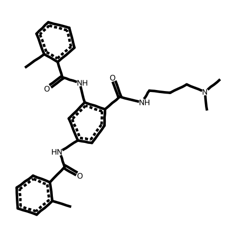 Cc1ccccc1C(=O)Nc1ccc(C(=O)NCCCN(C)C)c(NC(=O)c2ccccc2C)c1